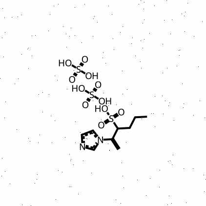 C=C(C(CCC)S(=O)(=O)O)n1ccnc1.O=S(=O)(O)O.O=S(=O)(O)O